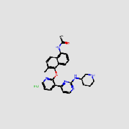 CCCC(=O)Nc1cccc2c(Oc3ncccc3-c3ccnc(NC4CCCNC4)n3)c(C)ccc12.Cl